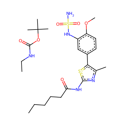 CCCCCC(=O)Nc1nc(C)c(-c2ccc(OC)c(NS(N)(=O)=O)c2)s1.CCNC(=O)OC(C)(C)C